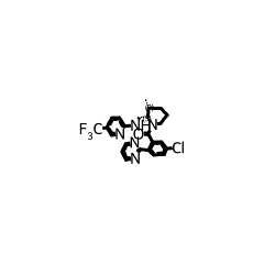 C[C@@H]1CCCN(C(=O)c2cc(Cl)ccc2-c2ncccn2)[C@@H]1CNc1ccc(C(F)(F)F)cn1